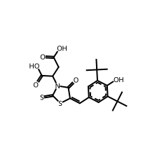 CC(C)(C)c1cc(C=C2SC(=S)N(C(CC(=O)O)C(=O)O)C2=O)cc(C(C)(C)C)c1O